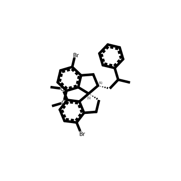 COc1ccc(Br)c2c1[C@@]1(CC2)c2c(OC)ccc(Br)c2C[C@@H]1CC(C)c1ccccc1